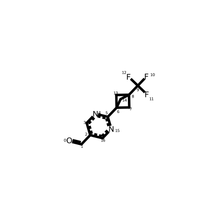 O=Cc1cnc(C23CC(C(F)(F)F)(C2)C3)nc1